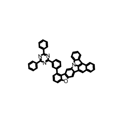 c1ccc(-c2nc(-c3ccccc3)nc(-c3cccc(-c4cccc5oc6cc7c8cc9ccccc9c9c%10ccccc%10n(c7cc6c45)c89)c3)n2)cc1